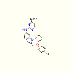 CNc1ccnc(Nc2ccc3cc(C)n(-c4ccccc4Oc4ccc(S)cc4)c3c2)n1